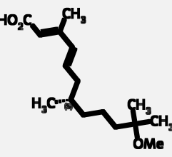 COC(C)(C)CCC[C@H](C)CC=CC(C)=CC(=O)O